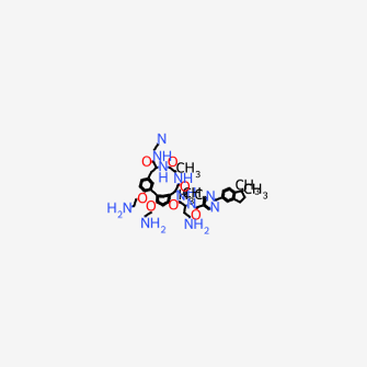 Cc1nc(-c2ccc3c(c2)CCC3(C)C)ncc1C(=O)NC(CCN)C(=O)N(C)C1C(=O)NC(C)C(=O)NC(C(=O)NCC#N)Cc2ccc(OCCN)c(c2)-c2cc1ccc2OCCN